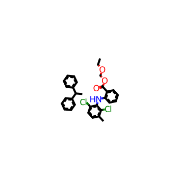 CC(c1ccccc1)c1ccccc1.CCOCOC(=O)c1ccccc1Nc1c(Cl)ccc(C)c1Cl